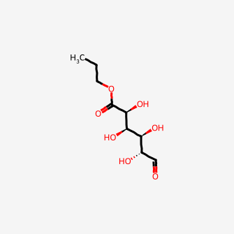 CCCOC(=O)[C@@H](O)[C@H](O)[C@@H](O)[C@@H](O)C=O